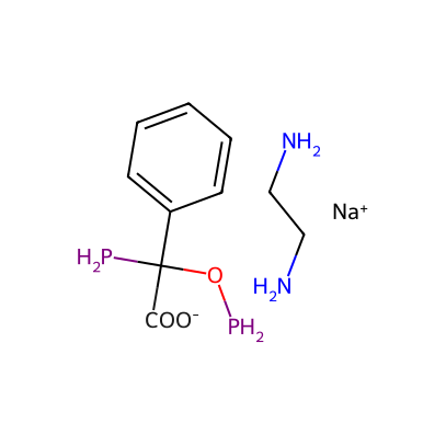 NCCN.O=C([O-])C(P)(OP)c1ccccc1.[Na+]